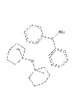 C1C[C]2([Bi][C]34CCC(CC3)C4)CCC1C2.C[C](C)(C)[Bi]([c]1ccccc1)[c]1ccccc1